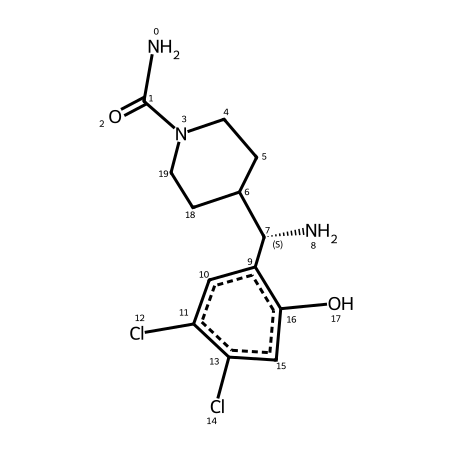 NC(=O)N1CCC([C@H](N)c2cc(Cl)c(Cl)cc2O)CC1